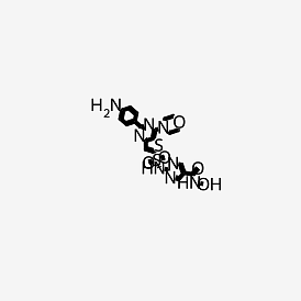 Nc1ccc(-c2nc(N3CCOCC3)c3sc(S(=O)(=O)Nc4ncc(C(=O)NO)cn4)cc3n2)cc1